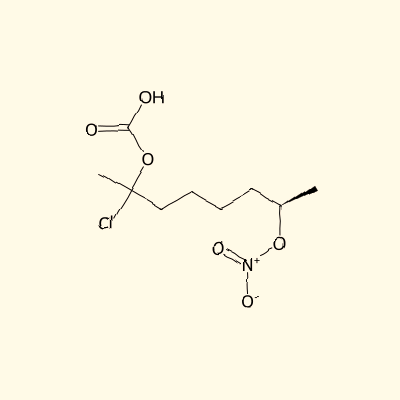 C[C@H](CCCCC(C)(Cl)OC(=O)O)O[N+](=O)[O-]